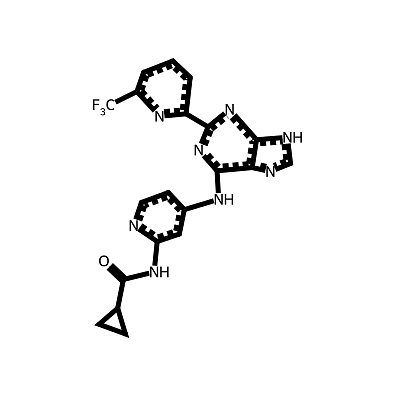 O=C(Nc1cc(Nc2nc(-c3cccc(C(F)(F)F)n3)nc3[nH]cnc23)ccn1)C1CC1